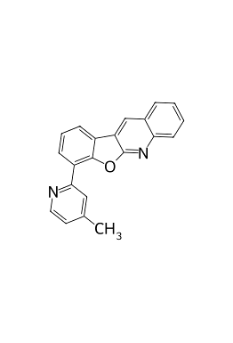 Cc1ccnc(-c2cccc3c2oc2nc4ccccc4cc23)c1